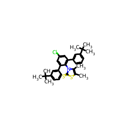 Cc1sc(=S)n(-c2c(-c3cccc(C(C)(C)C)c3)cc(Cl)cc2-c2cccc(C(C)(C)C)c2)c1C